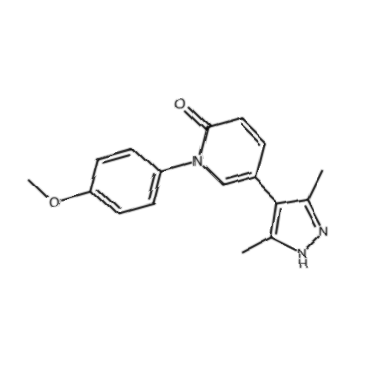 COc1ccc(-n2cc(-c3c(C)n[nH]c3C)ccc2=O)cc1